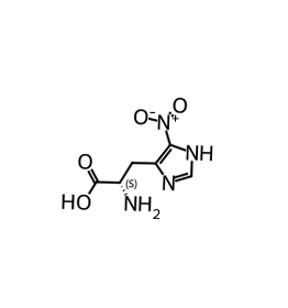 N[C@@H](Cc1nc[nH]c1[N+](=O)[O-])C(=O)O